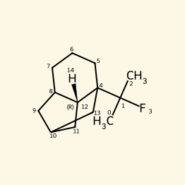 CC(C)(F)C12CCCC3CC(C[C@H]31)C2